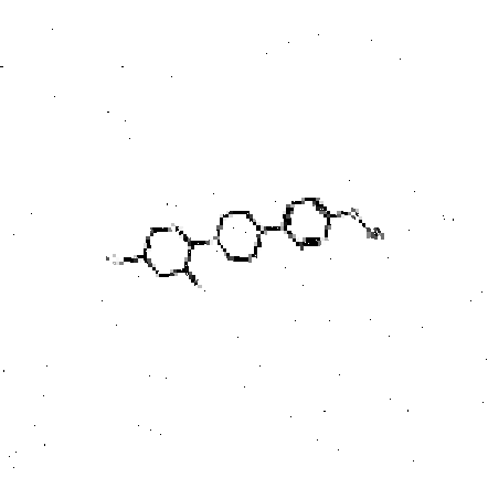 CCCCC1CCC(C2CCC(c3ccc(OCCC)cc3)CC2)C(C)C1